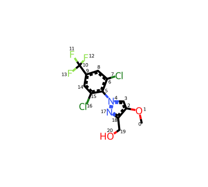 COc1cn(-c2c(Cl)cc(C(F)(F)F)cc2Cl)nc1CO